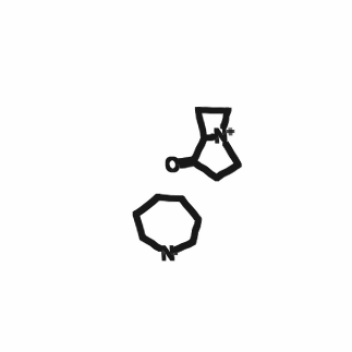 C1CCC[N]CC1.O=C1CC[N+]2CCC12